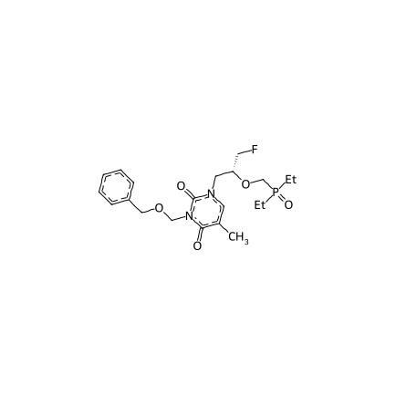 CCP(=O)(CC)CO[C@@H](CF)Cn1cc(C)c(=O)n(COCc2ccccc2)c1=O